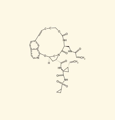 C=CC(=O)NC[C@@H]1NC(=O)OCCC/C=C/c2ccc3ccnc(c3c2)O[C@@H]2C[C@@H](C(=O)N[C@]3(C(=O)NS(=O)(=O)C4CC4)C[C@H]3C=C)N(C2)C1=O